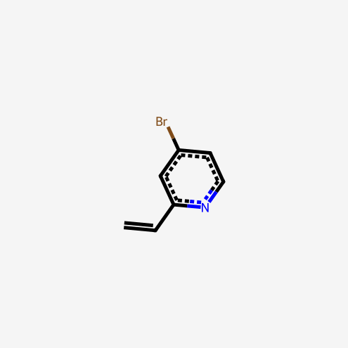 C=Cc1cc(Br)ccn1